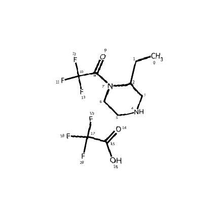 CCC1CNCCN1C(=O)C(F)(F)F.O=C(O)C(F)(F)F